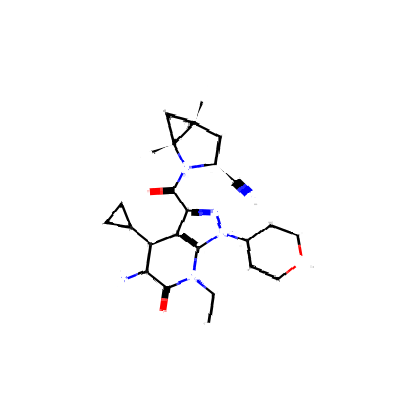 CCN1C(=O)C(N)C(C2CC2)c2c(C(=O)N3[C@H](C#N)C[C@H]4C[C@H]43)nn(C3CCOCC3)c21